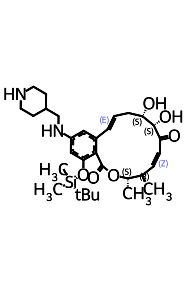 C[C@@H]1/C=C\C(=O)[C@@H](O)[C@@H](O)C/C=C/c2cc(NCC3CCNCC3)cc(O[Si](C)(C)C(C)(C)C)c2C(=O)O[C@H]1C